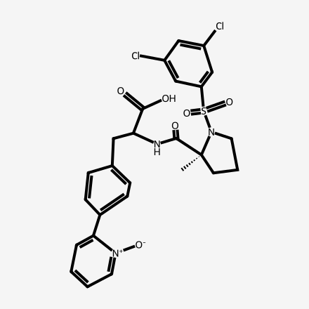 C[C@@]1(C(=O)NC(Cc2ccc(-c3cccc[n+]3[O-])cc2)C(=O)O)CCCN1S(=O)(=O)c1cc(Cl)cc(Cl)c1